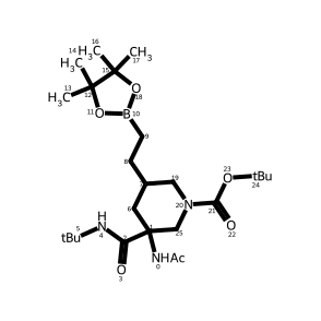 CC(=O)NC1(C(=O)NC(C)(C)C)CC(CCB2OC(C)(C)C(C)(C)O2)CN(C(=O)OC(C)(C)C)C1